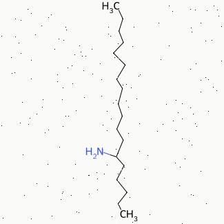 CCCCCCCCCCCCC(N)CCCCC